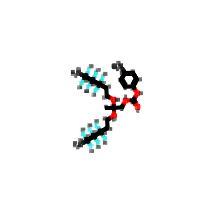 CC(COC(=O)Oc1ccc([N+](=O)[O-])cc1)(OCCC(F)(F)C(F)(F)C(F)(F)C(F)(F)F)OCCC(F)(F)C(F)(F)C(F)(F)C(F)(F)F